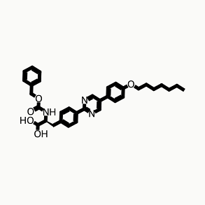 CCCCCCCOc1ccc(-c2cnc(-c3ccc(C[C@H](NC(=O)OCc4ccccc4)C(O)O)cc3)nc2)cc1